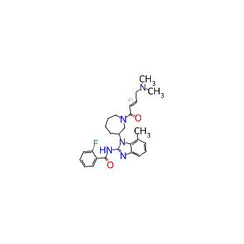 Cc1cccc2nc(NC(=O)c3ccccc3F)n(C3CCCCN(C(=O)/C=C/CN(C)C)C3)c12